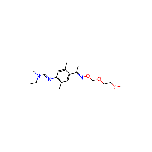 CCN(C)C=Nc1cc(C)c(/C(C)=N/OCOCCOC)cc1C